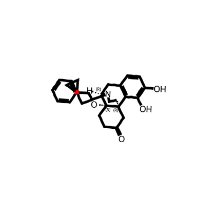 O=C1CC[C@@]2(OCc3ccccc3)[C@H]3Cc4ccc(O)c(O)c4[C@@]2(CCN3CC2CC2)C1